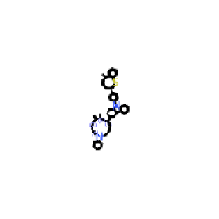 C=C1/C=C\C=C/N(c2ccccc2)C=CC/C=C(C2=Cc3c(n(-c4ccc(-c5cccc(C)c6ccccc6sc5)cc4)c4ccccc34)CC2)\C=C\1C